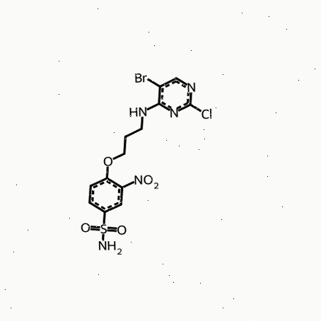 NS(=O)(=O)c1ccc(OCCCNc2nc(Cl)ncc2Br)c([N+](=O)[O-])c1